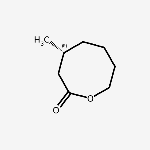 C[C@@H]1CCCCOC(=O)C1